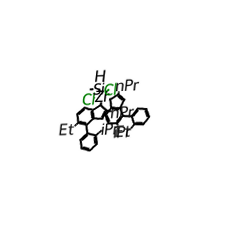 CCCC1=Cc2c(ccc(CC)c2-c2ccccc2C(C)C)[CH]1[Zr]([Cl])([Cl])([CH]1C(CCC)=Cc2c1ccc(CC)c2-c1ccccc1C(C)C)[SiH](C)C